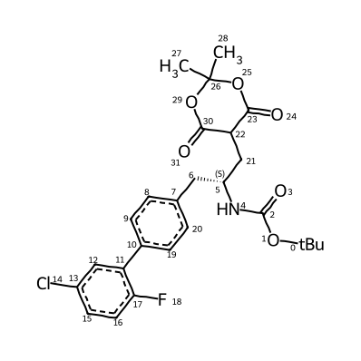 CC(C)(C)OC(=O)N[C@H](Cc1ccc(-c2cc(Cl)ccc2F)cc1)CC1C(=O)OC(C)(C)OC1=O